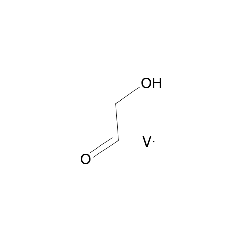 O=CCO.[V]